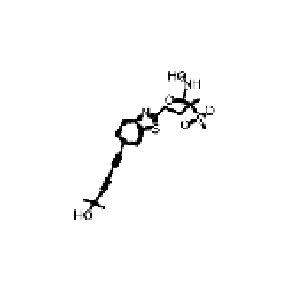 CC(C)(O)C#CC#Cc1ccc2nc(CCC(C)(C(=O)NO)S(C)(=O)=O)sc2c1